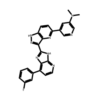 CN(C)c1cncc(-c2ccc3[nH]nc(-c4nc5c(-c6cccc(F)c6)ccnc5[nH]4)c3n2)c1